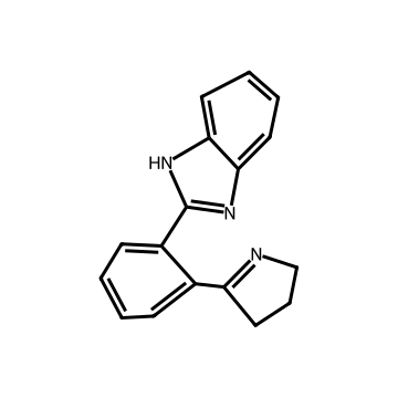 c1ccc(-c2nc3ccccc3[nH]2)c(C2=NCCC2)c1